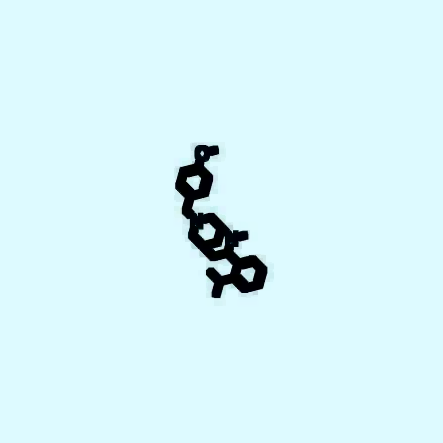 COc1ccc(CN2CC3CC(C2)N(C)C(c2ccccc2C(C)C)C3)cc1